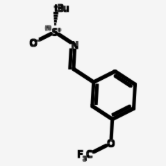 CC(C)(C)[S@@+]([O-])N=Cc1cccc(OC(F)(F)F)c1